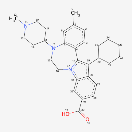 Cc1ccc2c(c1)N(C1CCN(C)CC1)CCn1c-2c(C2CCCCC2)c2ccc(C(=O)O)cc21